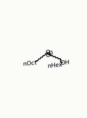 CCCCCCCC/C=C/CCCCCCCC(=O)OC(=O)CCCCCCC/C=C\C[C@H](O)CCCCCC